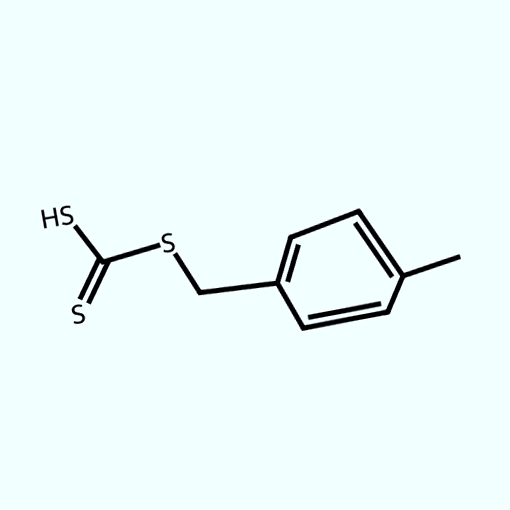 Cc1ccc(CSC(=S)S)cc1